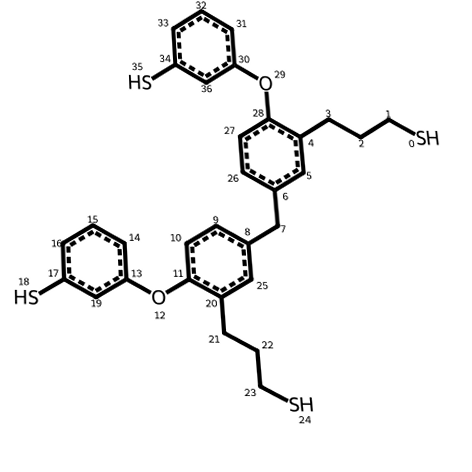 SCCCc1cc(Cc2ccc(Oc3cccc(S)c3)c(CCCS)c2)ccc1Oc1cccc(S)c1